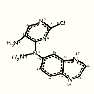 Nc1cnc(Cl)nc1N(N)c1ccc2nccnc2c1